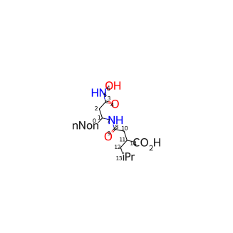 CCCCCCCCCC(CC(=O)NO)NC(=O)CC(CC(C)C)C(=O)O